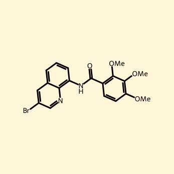 COc1ccc(C(=O)Nc2cccc3cc(Br)cnc23)c(OC)c1OC